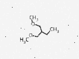 CC[C](COC)COC